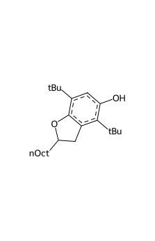 CCCCCCCCC1Cc2c(c(C(C)(C)C)cc(O)c2C(C)(C)C)O1